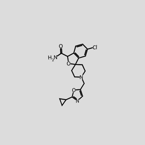 NC(=O)C1OC2(CCN(Cc3cnc(C4CC4)o3)CC2)c2cc(Cl)ccc21